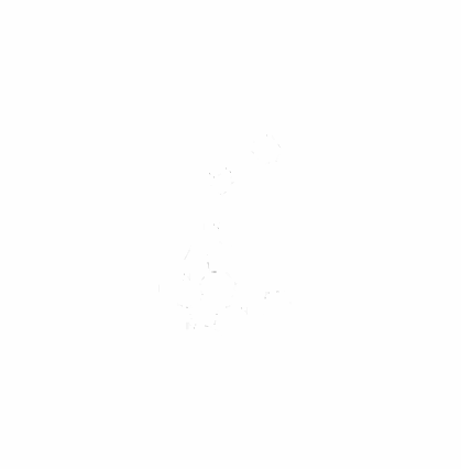 CN1C=CC(C(=O)NCc2cnn(Cc3ccccc3)c2)=c2ccc3c4c([nH]c(=O)c-4c21)=CCN3c1ccc(F)cc1